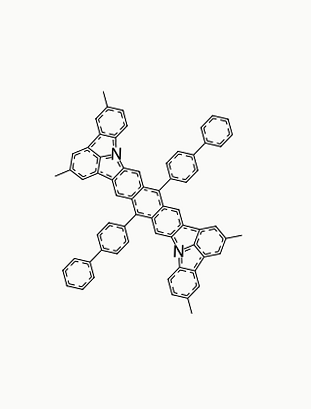 Cc1ccc2c(c1)c1cc(C)cc3c4cc5c(-c6ccc(-c7ccccc7)cc6)c6cc7c(cc6c(-c6ccc(-c8ccccc8)cc6)c5cc4n2c13)c1cc(C)cc2c3cc(C)ccc3n7c21